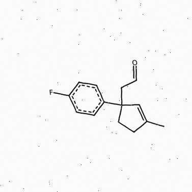 CC1=CC(CC=O)(c2ccc(F)cc2)CC1